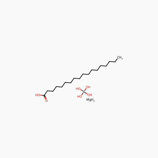 CCCCCCCCCCCCCCCCCC(=O)O.O[Si](O)(O)O.[MgH2]